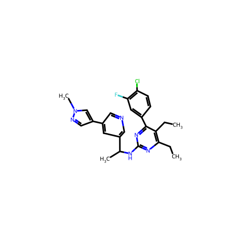 CCc1nc(NC(C)c2cncc(-c3cnn(C)c3)c2)nc(-c2ccc(Cl)c(F)c2)c1CC